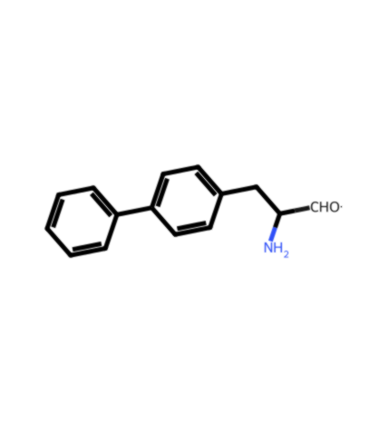 NC([C]=O)Cc1ccc(-c2ccccc2)cc1